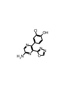 Nc1cnc(-c2ccc(O)c(Cl)c2)c(-c2nnco2)n1